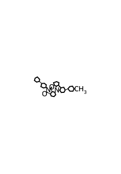 Cc1ccc(-c2ccc3c(c2)c2ccccc2n3-c2cccc3c2C(=O)N(c2ccc(-c4ccccc4)cc2)C3=O)cc1